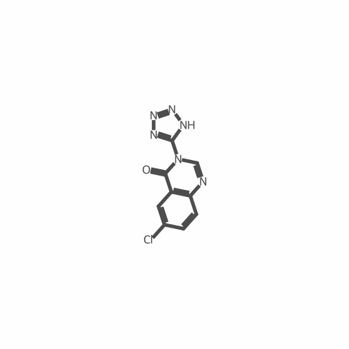 O=c1c2cc(Cl)ccc2ncn1-c1nnn[nH]1